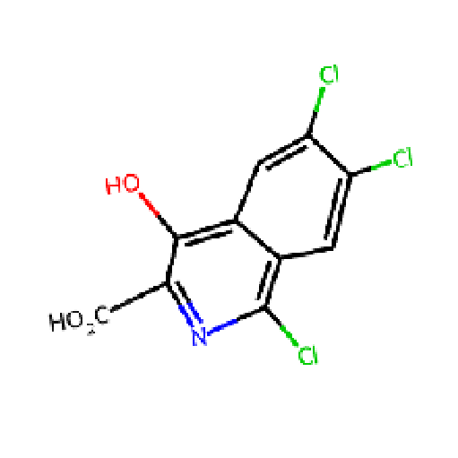 O=C(O)c1nc(Cl)c2cc(Cl)c(Cl)cc2c1O